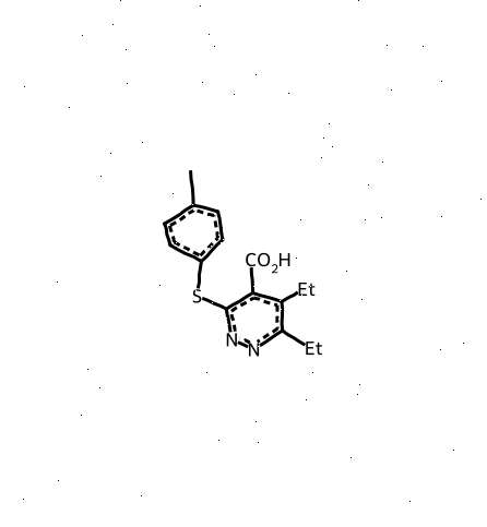 CCc1nnc(Sc2ccc(C)cc2)c(C(=O)O)c1CC